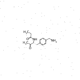 CCC(=O)N[C@H](Cc1ccc(CN)cc1)C(C)=O